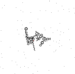 C=C1C[C@@H](C[C@H]2C[C@@H](O[Si](CC)(CC)CC)C[C@@H](C[C@H](CC(=O)O)OCc3ccc(OC)cc3)O2)O[C@@H](C=CC(C)(C)[C@]2(OC)O[C@H](C[C@@H](O)[C@@H](C)OCOCc3ccccc3)CC(=CC(=O)OC)[C@@H]2OC(=O)CCCCCCC)C1